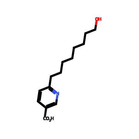 O=C(O)c1ccc(CCCCCCCCO)nc1